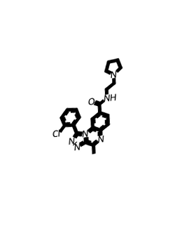 Cc1nc2ccc(C(=O)NCCN3CCCC3)cc2n2c(-c3ccccc3Cl)nnc12